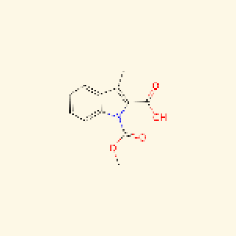 COC(=O)n1c(C(=O)O)c(C)c2ccccc21